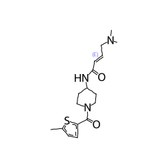 Cc1ccc(C(=O)N2CCC(NC(=O)/C=C/CN(C)C)CC2)s1